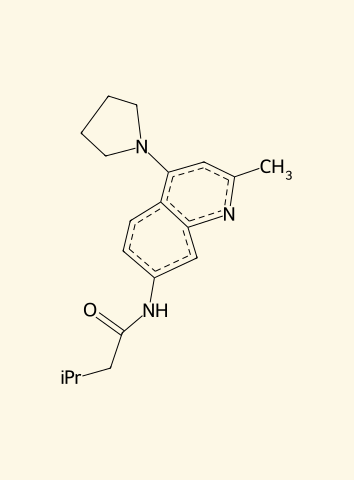 Cc1cc(N2CCCC2)c2ccc(NC(=O)CC(C)C)cc2n1